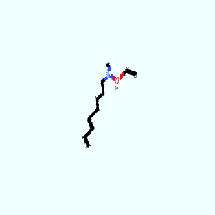 CCCCCCCCN(C)OCC